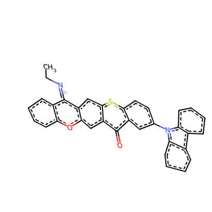 CC/N=c1\c2ccccc2oc2cc3c(=O)c4cc(-n5c6ccccc6c6ccccc65)ccc4sc3cc12